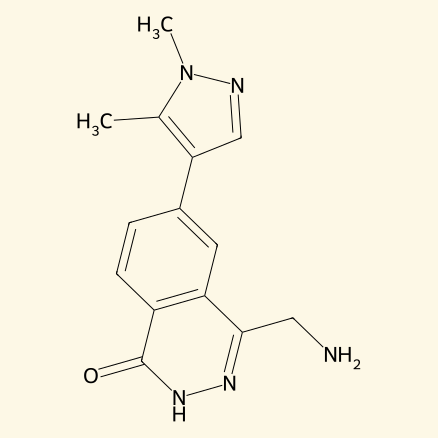 Cc1c(-c2ccc3c(=O)[nH]nc(CN)c3c2)cnn1C